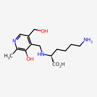 Cc1ncc(CO)c(CN[C@@H](CCCCN)C(=O)O)c1O